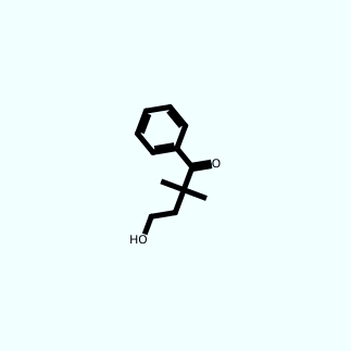 CC(C)(CCO)C(=O)c1ccccc1